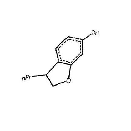 CCCC1COc2cc(O)ccc21